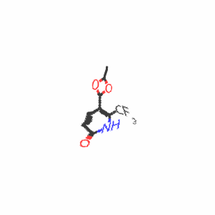 CC1OC(c2ccc(=O)[nH]c2C(F)(F)F)O1